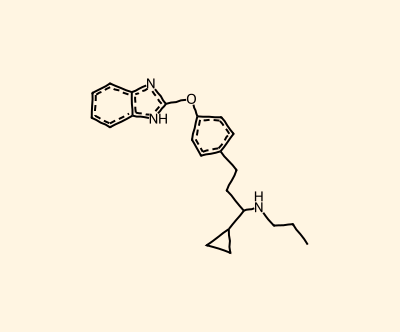 CCCNC(CCc1ccc(Oc2nc3ccccc3[nH]2)cc1)C1CC1